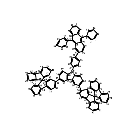 c1ccc(-c2c3ccccc3c(-c3ccccc3)c3cc(-c4ccc(-n5c6ccc(-c7ccc8c(c7)C7(c9ccccc9-c9ccccc97)c7ccccc7-8)cc6c6cc(-c7ccc8c(c7)C7(c9ccccc9-c9ccccc97)c7ccccc7-8)ccc65)cc4)ccc23)cc1